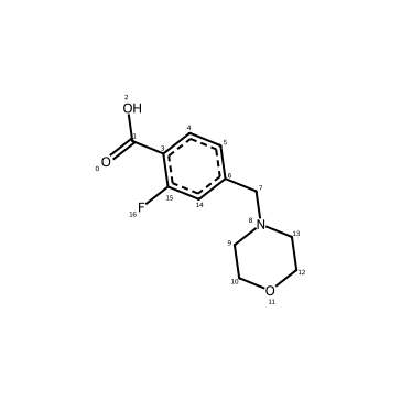 O=C(O)c1ccc(CN2CCOCC2)cc1F